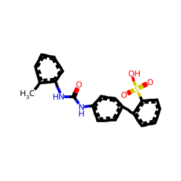 Cc1ccccc1NC(=O)Nc1ccc(-c2ccccc2S(=O)(=O)O)cc1